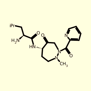 CC(C)C[C@H](N)C(=O)N[C@H]1CCN(C)N(C(=O)c2ccccn2)CC1=O